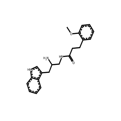 COc1ccccc1CCC(=O)NCC(N)Cc1c[nH]c2ccccc12